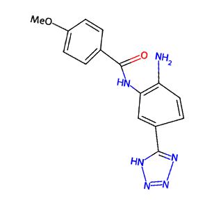 COc1ccc(C(=O)Nc2cc(-c3nnn[nH]3)ccc2N)cc1